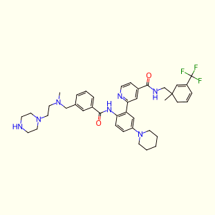 CN(CCN1CCNCC1)Cc1cccc(C(=O)Nc2ccc(N3CCCCC3)cc2-c2cc(C(=O)NCC3(C)C=C(C(F)(F)F)C=CC3)ccn2)c1